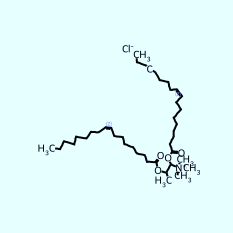 CCCCCCCC/C=C\CCCCCCCC(=O)OC(C)C(OC(=O)CCCCCCC/C=C\CCCCCCCC)[N+](C)(C)C.[Cl-]